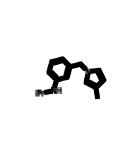 Cc1ccn(Cc2cccc(NC(C)C)c2)c1